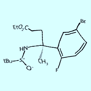 CCOC(=O)C[C@](C)(N[S+]([O-])C(C)(C)C)c1cc(Br)ccc1F